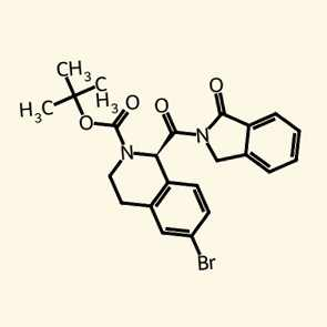 CC(C)(C)OC(=O)N1CCc2cc(Br)ccc2[C@@H]1C(=O)N1Cc2ccccc2C1=O